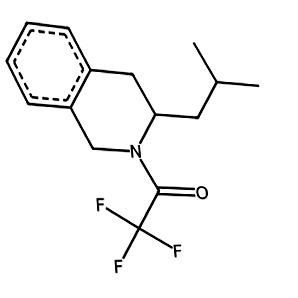 CC(C)CC1Cc2ccccc2CN1C(=O)C(F)(F)F